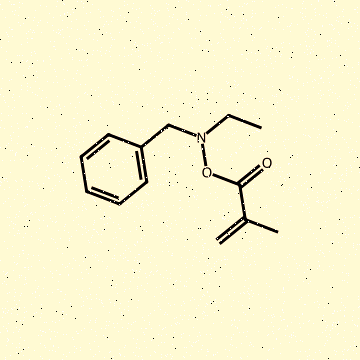 C=C(C)C(=O)ON(CC)Cc1ccccc1